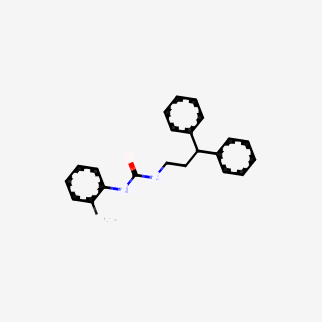 CSc1ccccc1NC(=O)NCCC(c1ccccc1)c1ccccc1